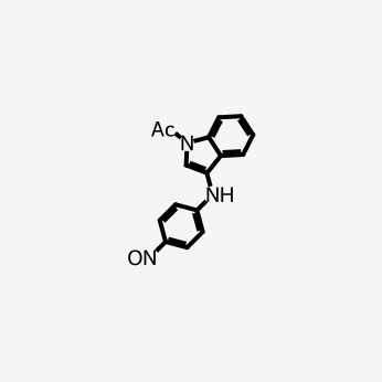 CC(=O)n1cc(Nc2ccc(N=O)cc2)c2ccccc21